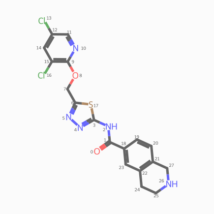 O=C(Nc1nnc(COc2ncc(Cl)cc2Cl)s1)c1ccc2c(c1)CCNC2